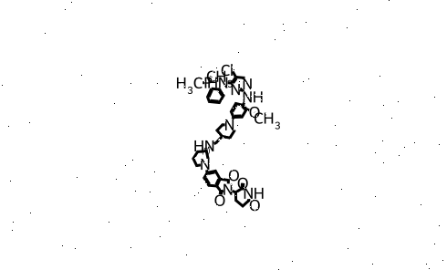 COc1cc(N2CCC(CN[C@H]3CCCN(c4ccc5c(c4)C(=O)N(C4CCC(=O)NC4=O)C5=O)C3)CC2)ccc1Nc1ncc(Cl)c(Nc2ccccc2P(C)C)n1